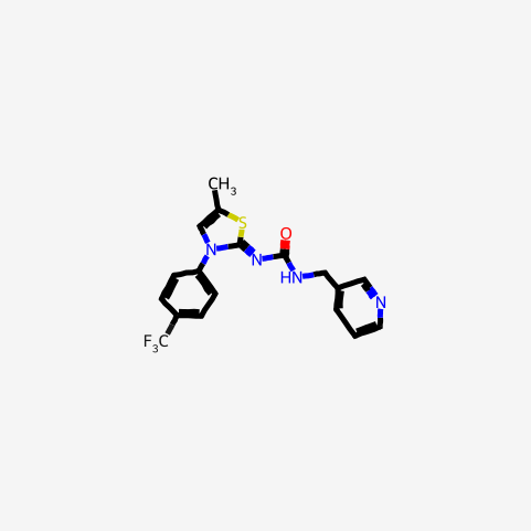 Cc1cn(-c2ccc(C(F)(F)F)cc2)c(=NC(=O)NCc2cccnc2)s1